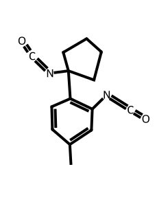 Cc1ccc(C2(N=C=O)CCCC2)c(N=C=O)c1